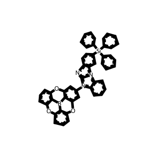 c1ccc([Si](c2ccccc2)(c2ccccc2)c2ccc3nc4n(-c5cc6c7c(c5)Oc5cccc8c5B7c5c(cccc5O6)O8)c5ccccc5n4c3c2)cc1